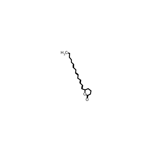 CCCCCC=CCC=CCC=CC=CC1CCCC(=O)O1